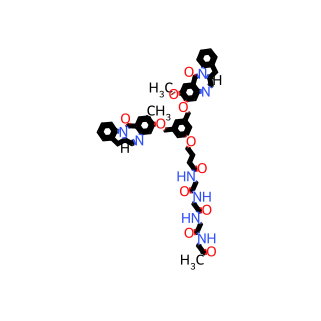 COc1cc2c(cc1OCc1cc(COc3cc4c(cc3C)C(=O)N3c5ccccc5C[C@H]3C=N4)cc(OCCCC(=O)NCC(=O)NCC(=O)NCC(=O)NCC(C)=O)c1)N=C[C@@H]1Cc3ccccc3N1C2=O